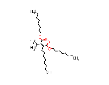 CCCCCCCCOC(=O)/C(CCCCCCCC)=C(\C(=O)OCCCCCCCC)C(C)C